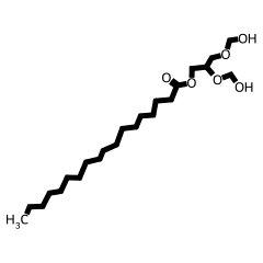 CCCCCCCCCCCCCCCCCC(=O)OCC(COCO)OCO